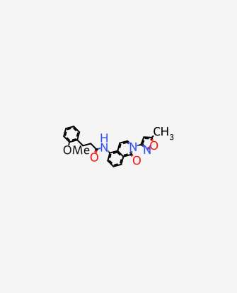 COc1ccccc1CCC(=O)Nc1cccc2c(=O)n(-c3cc(C)on3)ccc12